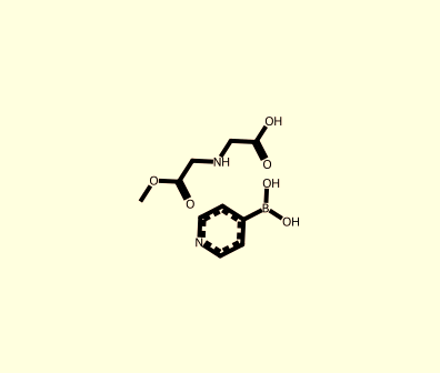 COC(=O)CNCC(=O)O.OB(O)c1ccncc1